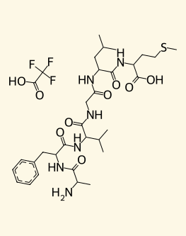 CSCCC(NC(=O)C(CC(C)C)NC(=O)CNC(=O)C(NC(=O)C(Cc1ccccc1)NC(=O)C(C)N)C(C)C)C(=O)O.O=C(O)C(F)(F)F